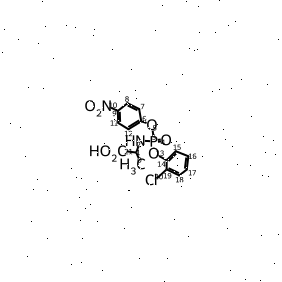 CC(NP(=O)(Oc1ccc([N+](=O)[O-])cc1)Oc1ccccc1Cl)C(=O)O